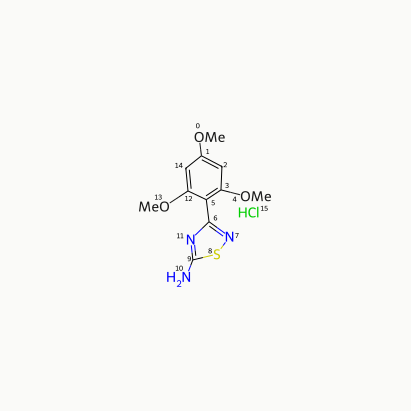 COc1cc(OC)c(-c2nsc(N)n2)c(OC)c1.Cl